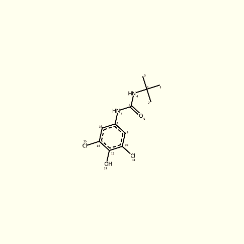 CC(C)(C)NC(=O)Nc1cc(Cl)c(O)c(Cl)c1